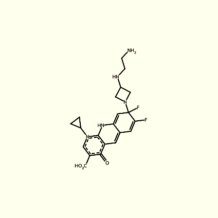 NCCNC1CN(C2(F)C=C3Nc4c(c(=O)c(C(=O)O)cn4C4CC4)C=C3C=C2F)C1